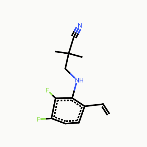 C=Cc1ccc(F)c(F)c1NCC(C)(C)C#N